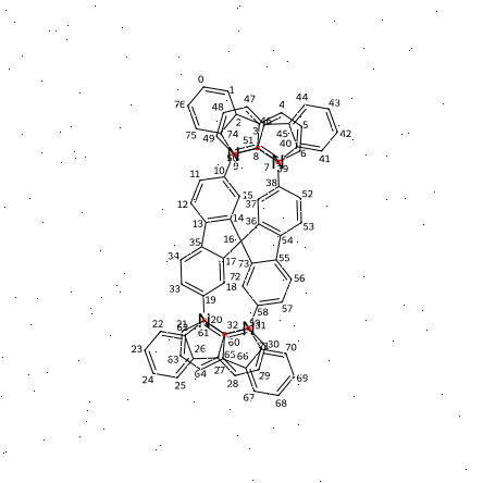 C1=CC2c3ccccc3N(c3ccc4c(c3)C3(c5cc(-n6c7ccccc7c7ccccc76)ccc5-4)c4cc(-n5c6ccccc6c6ccccc65)ccc4-c4ccc(-n5c6ccccc6c6ccccc65)cc43)C2C=C1